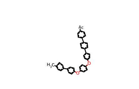 CC(=O)c1ccc(-c2ccc(-c3ccc(Oc4ccc(Oc5ccc(-c6ccc(C)cc6)cc5)cc4)cc3)cc2)cc1